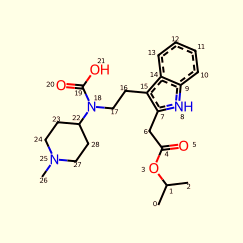 CC(C)OC(=O)Cc1[nH]c2ccccc2c1CCN(C(=O)O)C1CCN(C)CC1